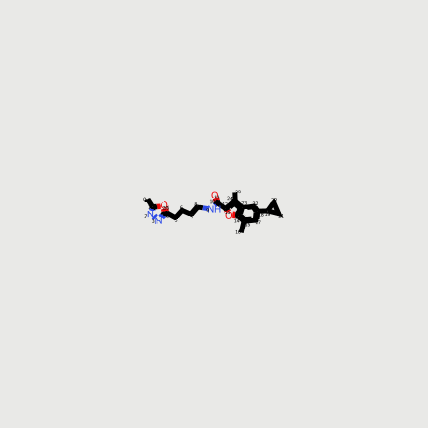 Cc1nnc(CCCCNC(=O)c2oc3c(C)cc(C4CC4)cc3c2C)o1